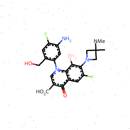 Bc1c(N2CC(C)(NC)C2)c(F)cc2c(=O)c(C(=O)O)cn(-c3cc(N)c(F)cc3CO)c12